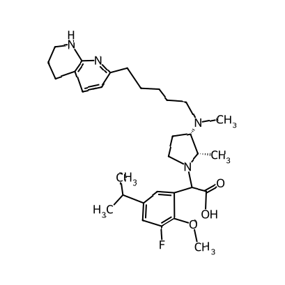 COc1c(F)cc(C(C)C)cc1C(C(=O)O)N1CC[C@H](N(C)CCCCCc2ccc3c(n2)NCCC3)[C@@H]1C